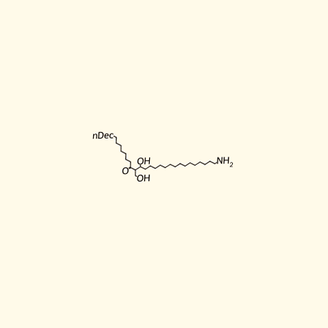 CCCCCCCCCCCCCCCCCC(=O)C(CO)C(O)CCCCCCCCCCCCCCCN